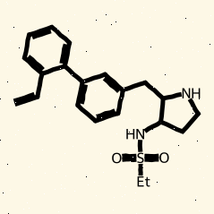 C=Cc1ccccc1-c1cccc(CC2NCCC2NS(=O)(=O)CC)c1